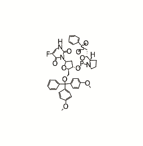 COc1ccc(C(OC[C@H]2O[C@@H](n3c(=O)[nH]cc(F)c3=O)C[C@@H]2O[P@]2O[C@H](CS(=O)(=O)c3ccccc3)[C@@H]3CCCN32)(c2ccccc2)c2ccc(OC)cc2)cc1